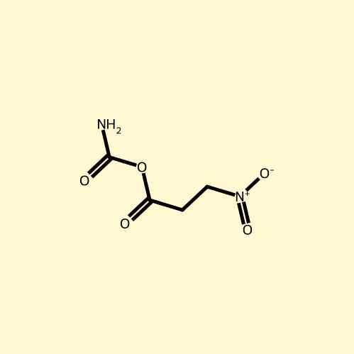 NC(=O)OC(=O)CC[N+](=O)[O-]